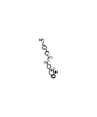 O=C(COC(=O)N1CCC(N2CCc3ccccc3NC2=O)CC1)N1CCC(N2CCN(CCO)CC2)CC1